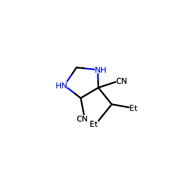 CCC(CC)C1(C#N)NCNC1C#N